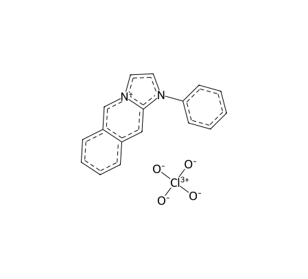 [O-][Cl+3]([O-])([O-])[O-].c1ccc(-n2cc[n+]3cc4ccccc4cc23)cc1